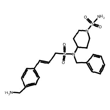 NCc1ccc(C=CCS(=O)(=O)N(Cc2ccccc2)C2CCN(S(N)(=O)=O)CC2)cc1